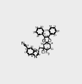 CC1(Cn2cnc3ccc(C#N)cc32)CCCC2(C1)OC(c1ccccc1)C(c1ccccc1)O2